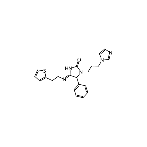 O=C1NC(=NCCc2cccs2)C(c2ccccc2)N1CCCn1ccnc1